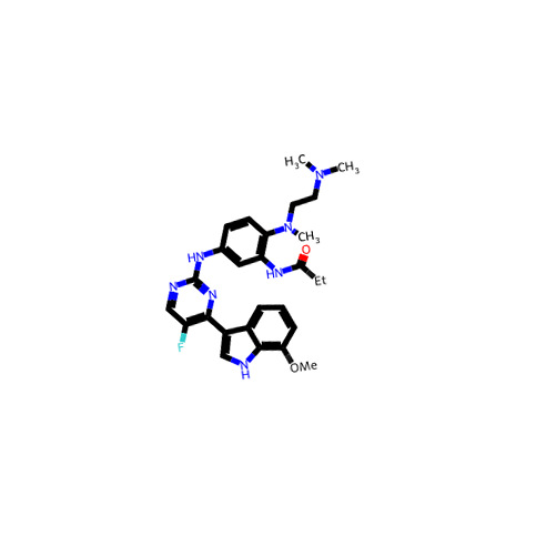 CCC(=O)Nc1cc(Nc2ncc(F)c(-c3c[nH]c4c(OC)cccc34)n2)ccc1N(C)CCN(C)C